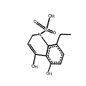 CCc1ccc(O)c2c1N(S(=O)(=O)O)CC=C2O